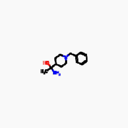 CC(N)(O)C1CCN(Cc2ccccc2)CC1